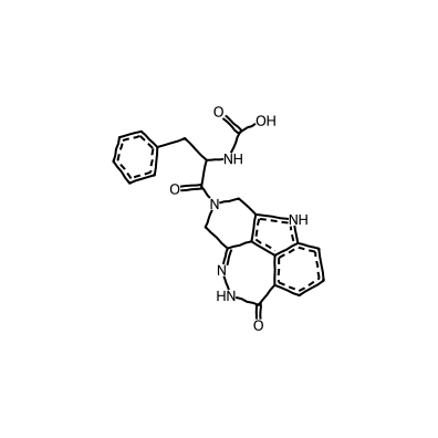 O=C(O)NC(Cc1ccccc1)C(=O)N1CC2=NNC(=O)c3cccc4[nH]c(c2c34)C1